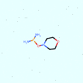 NP(N)ON1CCOCC1